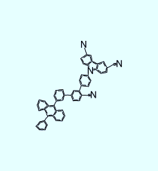 N#Cc1ccc2c(c1)c1cc(C#N)ccc1n2-c1ccc(-c2cc(-c3cccc(-c4c5ccccc5c(-c5ccccc5)c5ccccc45)c3)ccc2C#N)cc1